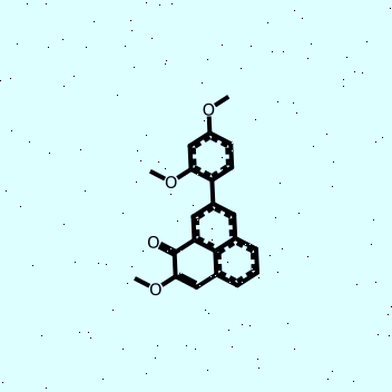 COC1=Cc2cccc3cc(-c4ccc(OC)cc4OC)cc(c23)C1=O